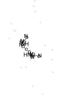 O=C(CCc1cccnc1)N1CCC[C@H]1c1nc2ccc(-c3ccc(-c4ccc5nc([C@@H]6CCCN6C(=O)CCc6cccnc6)[nH]c5c4)cc3)cc2[nH]1